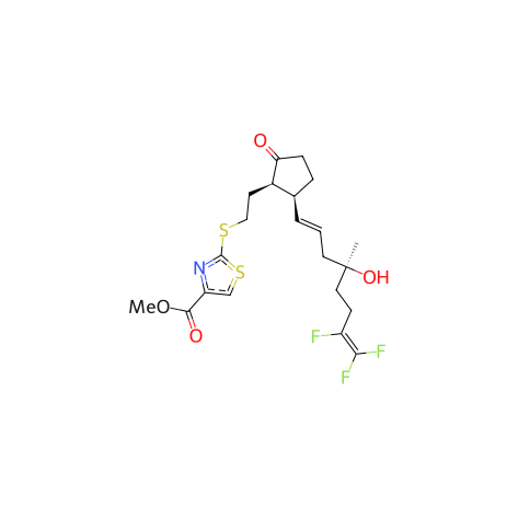 COC(=O)c1csc(SCC[C@H]2C(=O)CC[C@H]2/C=C/C[C@@](C)(O)CCC(F)=C(F)F)n1